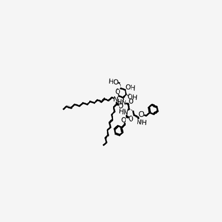 CCCCCCCCCCCCCCN(C(=O)CCCCCCCCCCC)[C@@H]1O[C@H](CO)[C@@H](O)[C@H](O)[C@H]1NC(=O)[C@H](CCC(=N)OCc1ccccc1)NC(=O)OCc1ccccc1